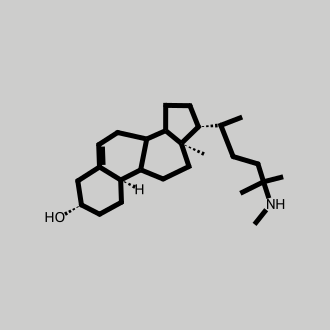 CNC(C)(C)CCC(C)[C@H]1CCC2C3CC=C4C[C@@H](O)CC[C@@H]4C3CC[C@@]21C